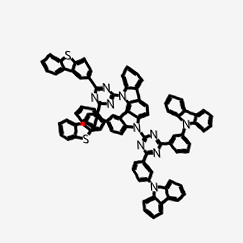 c1ccc(-c2ccc3c(c2)c2c(ccc4c5ccccc5n(-c5nc(-c6ccc7sc8ccccc8c7c6)nc(-c6ccc7sc8ccccc8c7c6)n5)c42)n3-c2nc(-c3cccc(-n4c5ccccc5c5ccccc54)c3)nc(-c3cccc(-n4c5ccccc5c5ccccc54)c3)n2)cc1